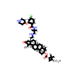 CC(C)C1=C2[C@H]3CC[C@@H]4[C@@]5(C)CC[C@H](OC(=O)[C@H]6C[C@@H](C(=O)O)C6(C)C)C(C)(C)[C@@H]5CC[C@@]4(C)[C@]3(C)CC[C@@]2(CCNCC(C)(C)NC(=O)c2ccc(Cl)cc2OC2CCNCC2)CC1=O